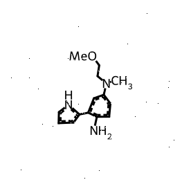 COCCN(C)c1ccc(N)c(-c2ccc[nH]2)c1